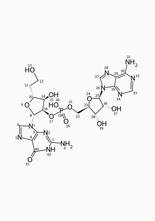 Nc1nc2c(ncn2[C@@H]2O[C@H](CCO)[C@@H](O)[C@H]2OP(=O)(O)OC[C@H]2O[C@@H](n3cnc4c(N)ncnc43)[C@H](O)[C@@H]2O)c(=O)[nH]1